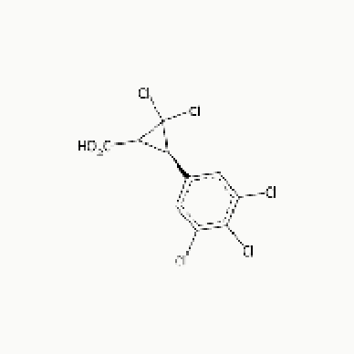 O=C(O)C1[C@H](c2cc(Cl)c(Cl)c(Cl)c2)C1(Cl)Cl